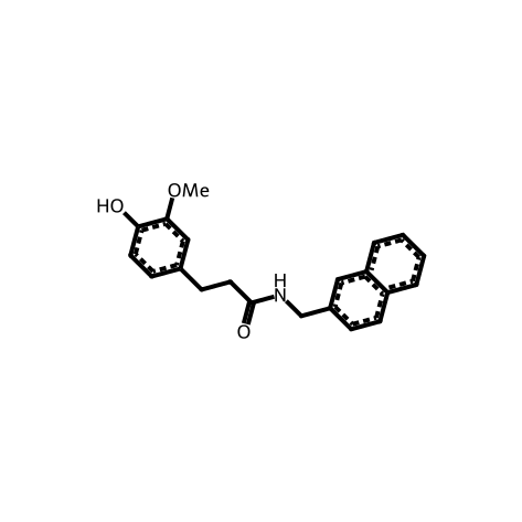 COc1cc(CCC(=O)NCc2ccc3ccccc3c2)ccc1O